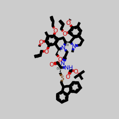 C=CCOc1c(C)c(OC)c(OCC=C)c2c1C[C@@H](C1c3c(cc(C)c(OC)c3OCC=C)CCN1C)N(CC#N)[C@H]2COC(=O)[C@@H](CSCC1c2ccccc2-c2ccccc21)NC(=O)OC(C)(C)C